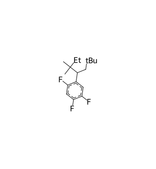 CCC(C)(C)C(CC(C)(C)C)c1cc(F)c(F)cc1F